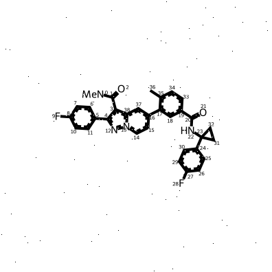 CNC(=O)c1c(-c2ccc(F)cc2)nn2ccc(-c3cc(C(=O)NC4(c5ccc(F)cc5)CC4)ccc3C)cc12